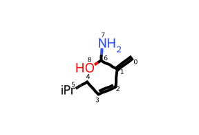 C=C(/C=C\CC(C)C)C(N)O